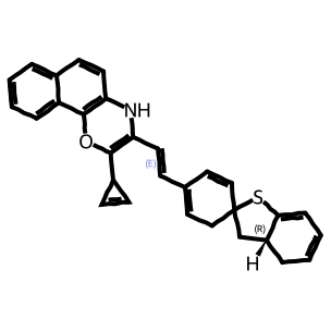 C1=CC[C@@H]2CC3(C=CC(/C=C/C4=C(C5C=C5)Oc5c(ccc6ccccc56)N4)=CC3)SC2=C1